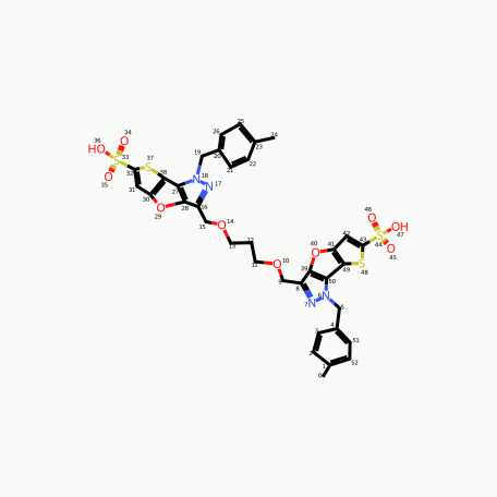 Cc1ccc(Cn2nc(COCCCOCc3nn(Cc4ccc(C)cc4)c4c3oc3cc(S(=O)(=O)O)sc34)c3oc4cc(S(=O)(=O)O)sc4c32)cc1